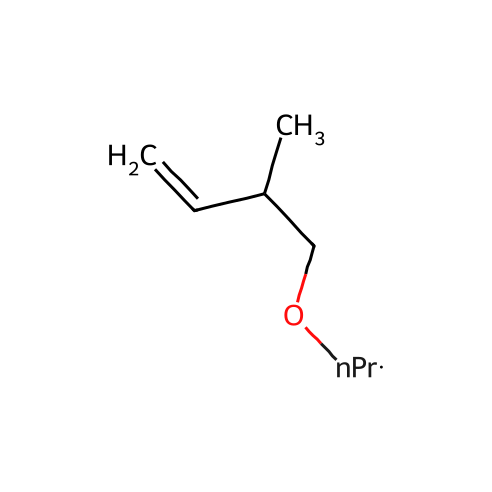 C=CC(C)CO[CH]CC